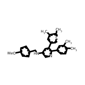 COc1ccc(CNc2cnc(-c3ccc(C)c(C)c3)c(-c3ccc(C)c(C)c3)c2)cc1